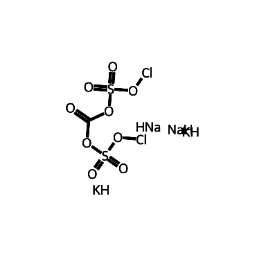 O=C(OS(=O)(=O)OCl)OS(=O)(=O)OCl.[KH].[KH].[NaH].[NaH]